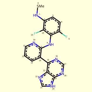 CSNc1ccc(F)c(Nc2ncccc2-c2ncnc3[nH]cnc23)c1F